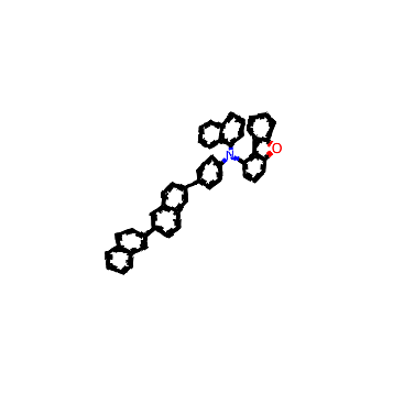 c1ccc2cc(-c3ccc4cc(-c5ccc(N(c6cccc7ccccc67)c6cccc7oc8ccccc8c67)cc5)ccc4c3)ccc2c1